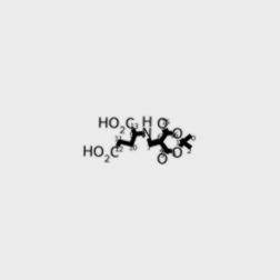 CC1(C)OC(=O)C(=CNC(CCC(=O)O)C(=O)O)C(=O)O1